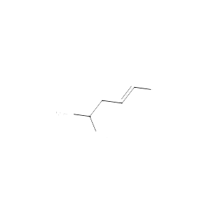 COC(CC=CC=O)C(C)(C)C